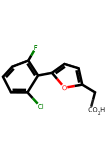 O=C(O)Cc1ccc(-c2c(F)cccc2Cl)o1